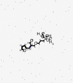 CO[Si](O)(CCCOC/C(C=O)=C/c1ccco1)OC